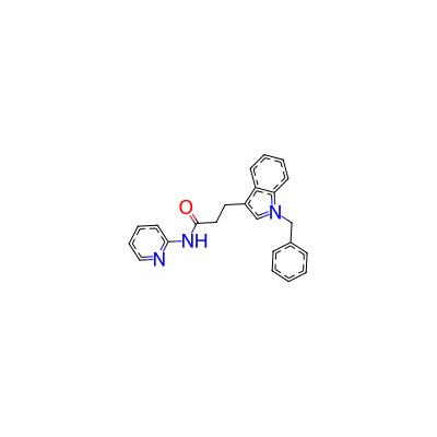 O=C(CCc1cn(Cc2ccccc2)c2ccccc12)Nc1ccccn1